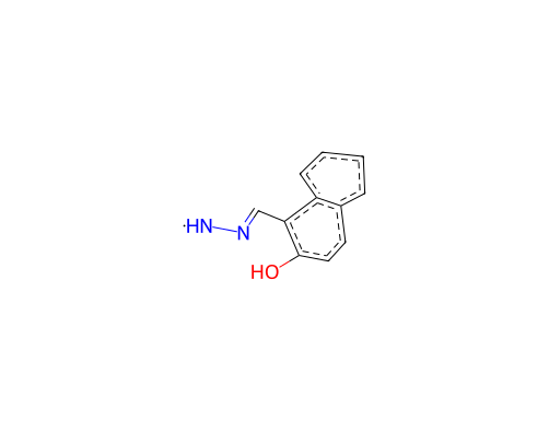 [NH]N=Cc1c(O)ccc2ccccc12